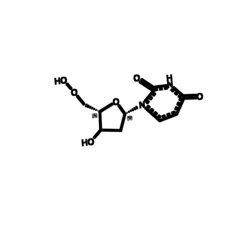 O=c1ccn([C@@H]2CC(O)[C@H](COO)O2)c(=O)[nH]1